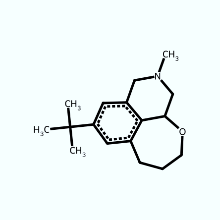 CN1Cc2cc(C(C)(C)C)cc3c2C(C1)OCCC3